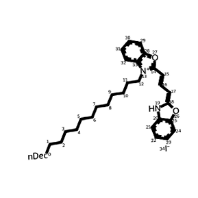 CCCCCCCCCCCCCCCCCCCCCC[n+]1c(C=CC=C2Nc3ccccc3O2)oc2ccccc21.[I-]